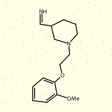 COc1ccccc1OCCN1CCCC(C=N)C1